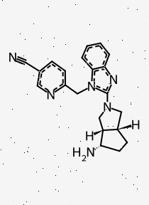 N#Cc1ccc(Cn2c(N3C[C@@H]4CC[C@H](N)[C@@H]4C3)nc3ccccc32)nc1